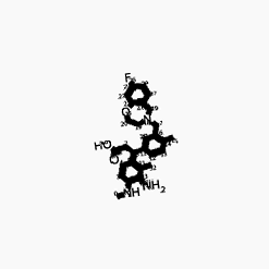 CNc1ccc(C(CC(=O)O)c2ccc(C)c(CN3CCOc4cc(F)ccc4C3)c2)c(C)c1N